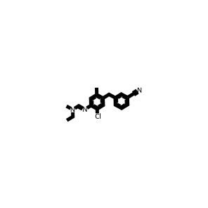 CCN(C)C=Nc1cc(C)c(Cc2cccc(C#N)c2)cc1Cl